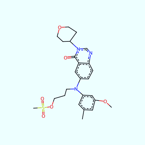 COc1cc(C)cc(N(CCCOS(C)(=O)=O)c2ccc3ncn(C4CCOCC4)c(=O)c3c2)c1